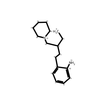 CCC(CCc1ccccc1N)CN1CCCCC1